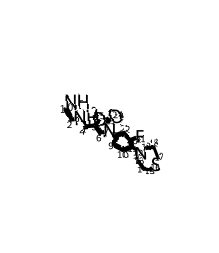 N/C=C\NCC1CN(c2ccc(N3CCCSCCC3)c(F)c2)C(=O)O1